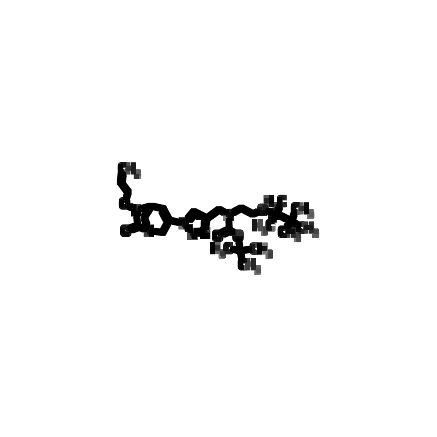 C=CCON1C(=O)N2CC(n3cc(CN(CCO[Si](C)(C)C(C)(C)C)C(=O)OC(C)(C)C)nn3)=CC1C2